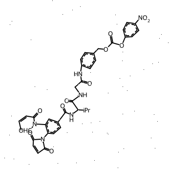 C/C=C\C(=O)N(C=O)c1cc(C(=O)NC(C(=O)NCC(=O)Nc2ccc(COC(=O)Oc3ccc([N+](=O)[O-])cc3)cc2)C(C)C)ccc1N1C(=O)C=CC1=O